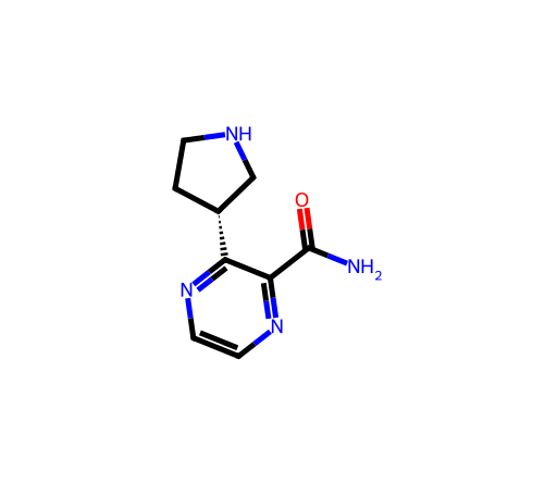 NC(=O)c1nccnc1[C@@H]1CCNC1